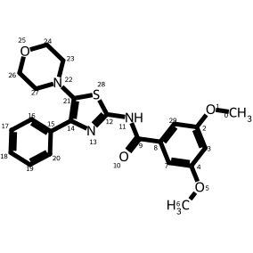 COc1cc(OC)cc(C(=O)Nc2nc(-c3ccccc3)c(N3CCOCC3)s2)c1